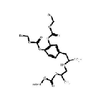 CCCCCOC(=O)OC(C)CN[C@@H](Cc1ccc(OC(=O)OCC(C)CC)c(OC(=O)OCC(C)CC)c1)C(=O)O